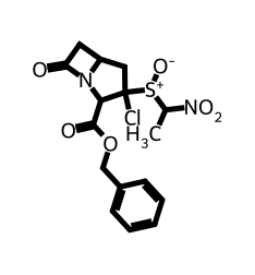 CC([N+](=O)[O-])[S+]([O-])C1(Cl)CC2CC(=O)N2C1C(=O)OCc1ccccc1